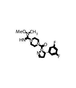 CON(C)C(=N)N1CCN(C(=O)N2N=CC[C@H]2c2cc(F)cc(F)c2)CC1